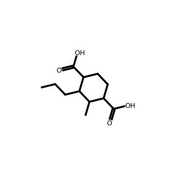 CCCC1C(C(=O)O)CCC(C(=O)O)C1C